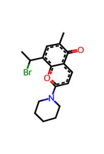 Cc1cc(C(C)Br)c2oc(N3CCCCC3)ccc-2c1=O